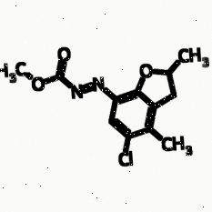 COC(=O)N=Nc1cc(Cl)c(C)c2c1OC(C)C2